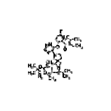 CCN(C(=O)c1cc(F)ccc1Oc1nncnc1N1CCC2(C1)CN([C@H](CC(CN(C)C(=O)OC(C)(C)C)OC)C(C)C)C2)C(C)C